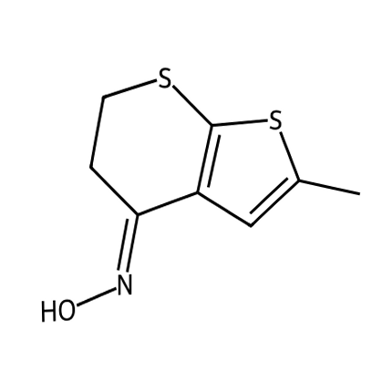 Cc1cc2c(s1)SCCC2=NO